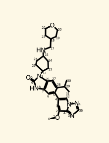 COc1cc(-c2cc3[nH]c(=O)n(C4CCC(NCC5CCOCC5)CC4)c3cc2C(C)C)cn2ncnc12